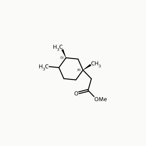 COC(=O)C[C@]1(C)CCC(C)[C@@H](C)C1